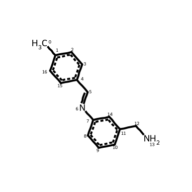 Cc1ccc(C=Nc2cccc(CN)c2)cc1